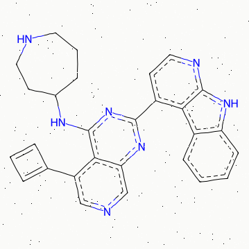 C1=CC(c2cncc3nc(-c4ccnc5[nH]c6ccccc6c45)nc(NC4CCCNCC4)c23)=C1